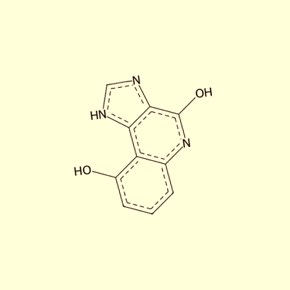 Oc1nc2cccc(O)c2c2[nH]cnc12